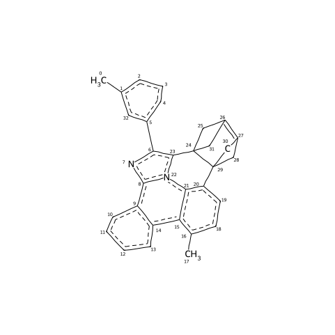 Cc1cccc(-c2nc3c4ccccc4c4c(C)ccc5c4n3c2C23CC(=C4CC52C4)C3)c1